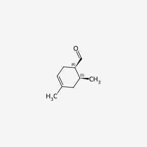 CC1=CC[C@@H](C=O)[C@@H](C)C1